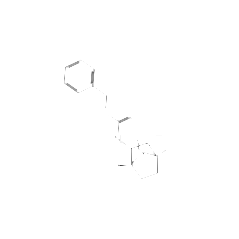 O=C(N[C@H]1C[C@@H]2CC[C@H]1N2C(=O)O)OCc1ccccc1